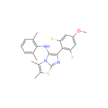 COc1cc(F)c(-c2nc3sc(C)c(C)n3c2Nc2c(C)cccc2C)c(F)c1